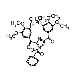 COc1cc(C(=O)c2cn(S(=O)(=O)c3ccccc3)c(C(=O)c3cc(OC)c(OC)c(OC)c3)n2)cc(OC)c1OC